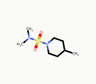 CC1CCN(S(=O)(=O)N(C)C)CC1